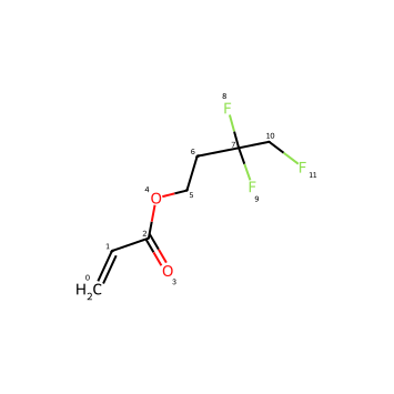 C=CC(=O)OCCC(F)(F)CF